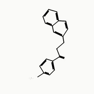 COc1ccc(C(=O)CCc2ccc3ccccc3c2)cc1